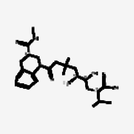 CNC(=O)[C@@H]1Cc2ccccc2N(C(=O)CC(C)(C)C[C@H](N)[C@@H](O)C[C@H](C(=O)O)C(C)C)C1